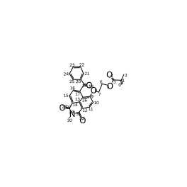 C=C(C)C(=O)OCCOc1ccc2c3c(ccc(C(=O)c4ccccc4)c13)C(=O)N(C)C2=O